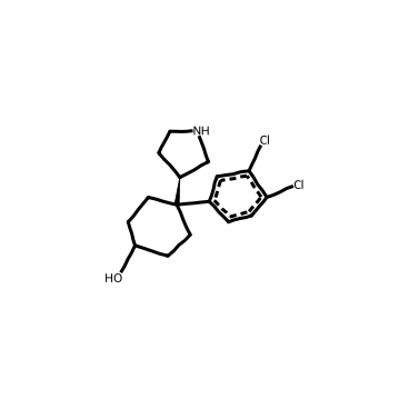 OC1CCC(c2ccc(Cl)c(Cl)c2)([C@H]2CCNC2)CC1